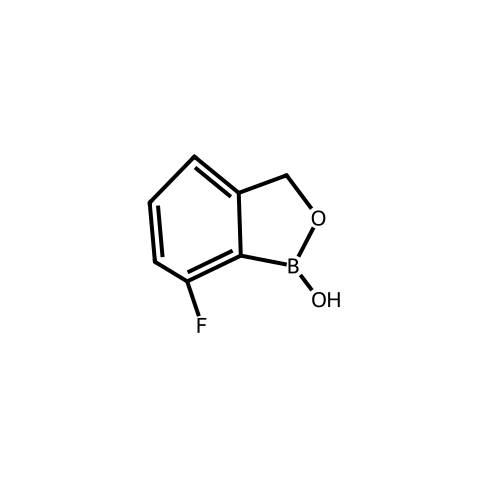 OB1OCc2cccc(F)c21